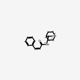 O=C(/C=C\c1ccccc1)NC1CN2CCC1CC2